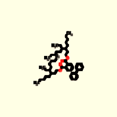 CCCCCC(CC)C(CCCCC)CCOC(=O)c1ccccc1C(=O)OCCC(CCCCC)C(CC)CCCCC.c1ccc(-c2ccccc2)cc1